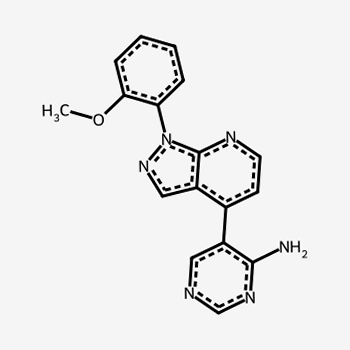 COc1ccccc1-n1ncc2c(-c3cncnc3N)ccnc21